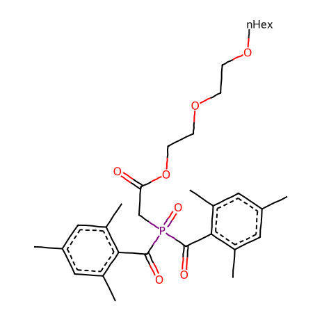 CCCCCCOCCOCCOC(=O)CP(=O)(C(=O)c1c(C)cc(C)cc1C)C(=O)c1c(C)cc(C)cc1C